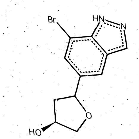 O[C@@H]1COC(c2cc(Br)c3[nH]ncc3c2)C1